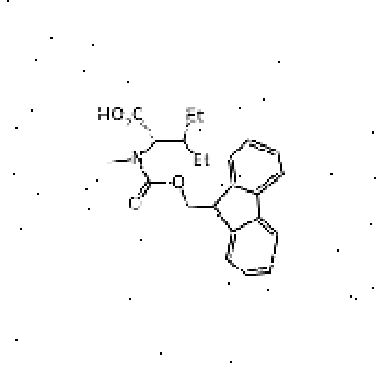 CCC(CC)[C@@H](C(=O)O)N(C)C(=O)OCC1c2ccccc2-c2ccccc21